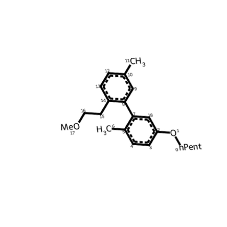 CCCCCOc1ccc(C)c(-c2cc(C)ccc2CCOC)c1